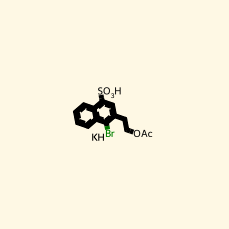 CC(=O)OCCc1cc(S(=O)(=O)O)c2ccccc2c1Br.[KH]